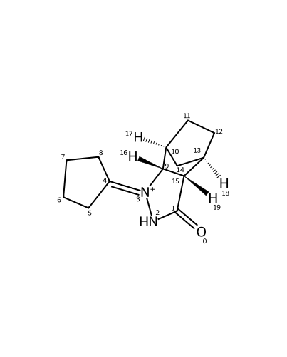 O=C1N[N+](=C2CCCC2)[C@@H]2[C@H]3CC[C@H](C3)[C@H]12